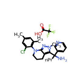 CCCC(N)(c1cccnc1)c1c2c(nn1C)N(c1c(C)cc(C)cc1Cl)CCC2.O=C(O)C(F)(F)F